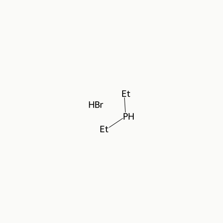 Br.CCPCC